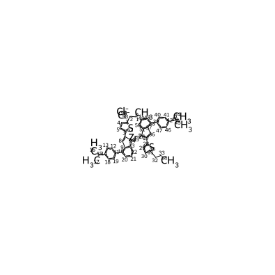 CCCc1ccc(C2=Cc3c(-c4ccc(C(C)C)cc4)cccc3[CH]2[Zr+2][CH]2C(c3ccc(CCC)s3)=Cc3c(-c4ccc(C(C)C)cc4)cccc32)s1.[Cl-].[Cl-]